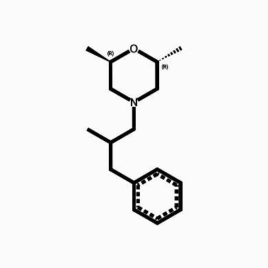 CC(Cc1ccccc1)CN1C[C@@H](C)O[C@H](C)C1